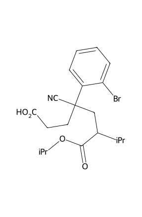 CC(C)OC(=O)C(CC(C#N)(CCC(=O)O)c1ccccc1Br)C(C)C